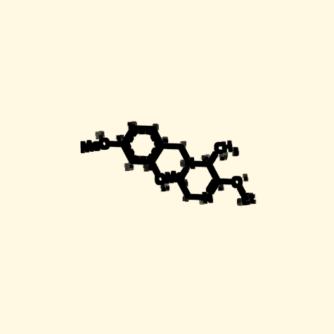 CCOC1=NCCN(Cc2ccc(OC)cc2OC)C1C